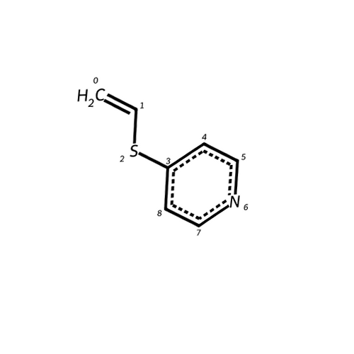 C=CSc1ccncc1